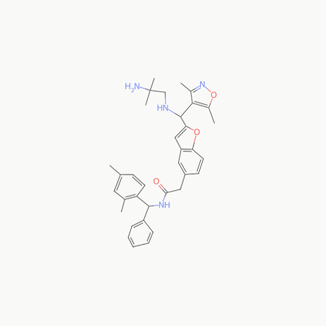 Cc1ccc(C(NC(=O)Cc2ccc3oc(C(NCC(C)(C)N)c4c(C)noc4C)cc3c2)c2ccccc2)c(C)c1